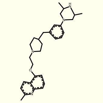 Cc1ccc2c(OCCN3CCC(Cc4cccc(N5CC(C)NC(C)C5)c4)CC3)cccc2n1